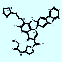 CC(C)(C)OC(=O)NC1CCN(C(=O)c2cn3c4c(c(NCCC5CCCN5)c(F)cc4c2=O)Oc2cc4c(cc2-3)oc2ccccc24)C1